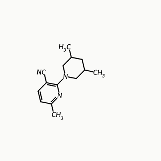 Cc1ccc(C#N)c(N2CC(C)CC(C)C2)n1